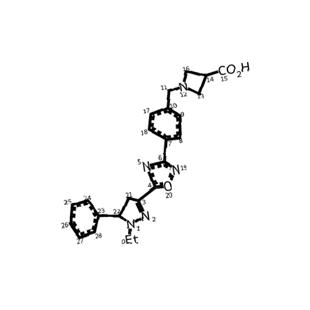 CCN1N=C(c2nc(-c3ccc(CN4CC(C(=O)O)C4)cc3)no2)CC1c1ccccc1